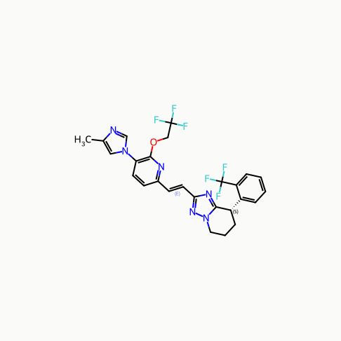 Cc1cn(-c2ccc(/C=C/c3nc4n(n3)CCC[C@H]4c3ccccc3C(F)(F)F)nc2OCC(F)(F)F)cn1